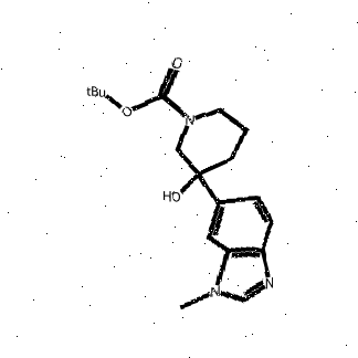 Cn1cnc2ccc(C3(O)CCCN(C(=O)OC(C)(C)C)C3)cc21